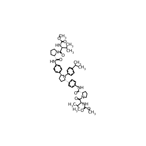 COC(=O)N[C@H](C(=O)N1CCC[C@H]1C(=O)Nc1ccc([C@@H]2CC[C@@H](c3ccc(NC(=O)[C@@H]4CCCN4C(=O)[C@@H](NC(=O)OC)C(C)C)cc3)N2c2ccc(C(C)C)cc2)cc1)C(C)C